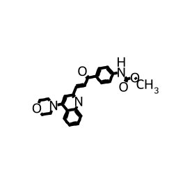 COC(=O)Nc1ccc(C(=O)C=Cc2cc(N3CCOCC3)c3ccccc3n2)cc1